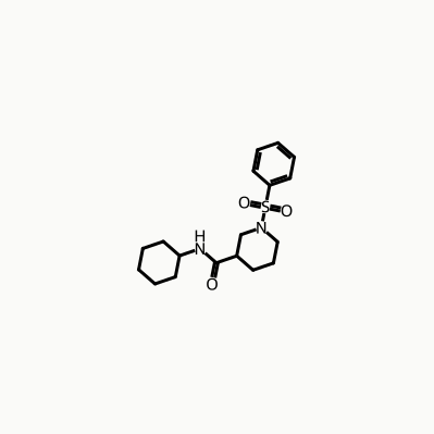 O=C(NC1CCCCC1)C1CCCN(S(=O)(=O)c2ccccc2)C1